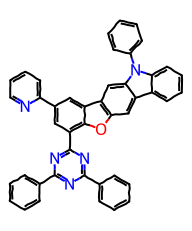 c1ccc(-c2nc(-c3ccccc3)nc(-c3cc(-c4ccccn4)cc4c3oc3cc5c6ccccc6n(-c6ccccc6)c5cc34)n2)cc1